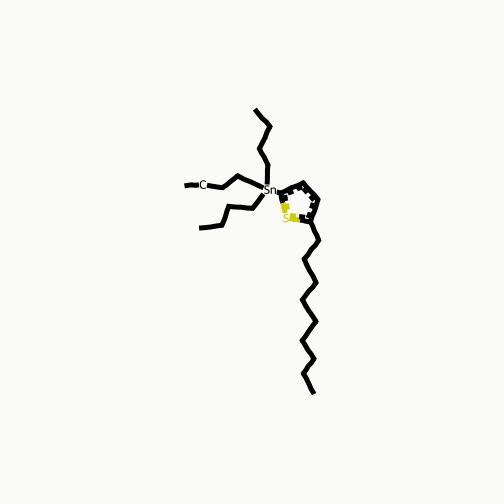 CCCCCCCCCc1cc[c]([Sn]([CH2]CCC)([CH2]CCC)[CH2]CCC)s1